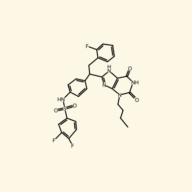 CCCCn1c(=O)[nH]c(=O)c2[nH]c(C(Cc3ccccc3F)c3ccc(NS(=O)(=O)c4ccc(F)c(F)c4)cc3)nc21